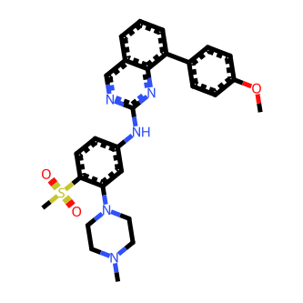 COc1ccc(-c2cccc3cnc(Nc4ccc(S(C)(=O)=O)c(N5CCN(C)CC5)c4)nc23)cc1